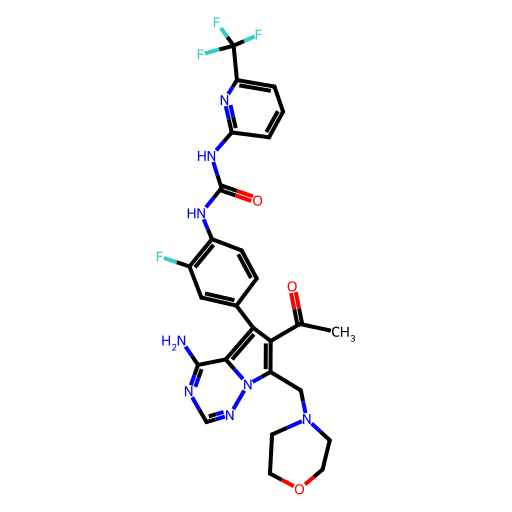 CC(=O)c1c(-c2ccc(NC(=O)Nc3cccc(C(F)(F)F)n3)c(F)c2)c2c(N)ncnn2c1CN1CCOCC1